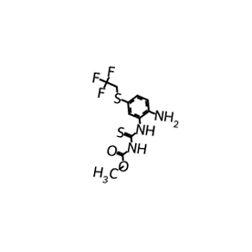 COC(=O)NC(=S)Nc1cc(SCC(F)(F)F)ccc1N